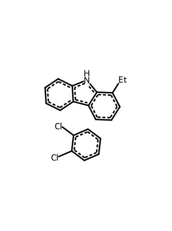 CCc1cccc2c1[nH]c1ccccc12.Clc1ccccc1Cl